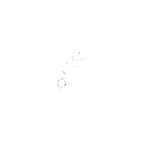 CCC12CC3CC(C)(CC(C1)C3OC(=O)c1ccc(Cl)cc1)[N+]2=[N-]